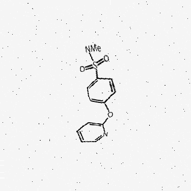 CNS(=O)(=O)c1ccc(Oc2ccccn2)cc1